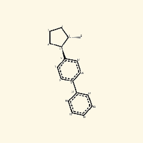 C[C@H]1CCC[C@@H]1c1ccc(-c2ccccc2)cc1